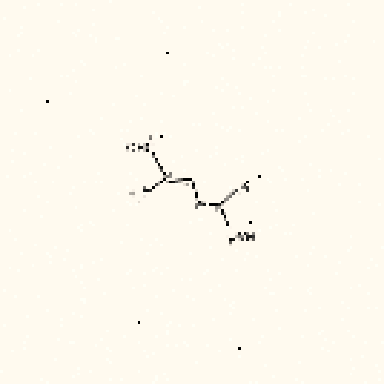 COC(CC=C(C)C=O)C(C)C